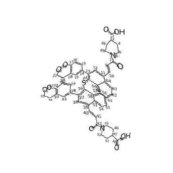 O=C(O)C1CCN(C(=O)/C=C/c2cc(-c3ccc4c(c3)CCOO4)c(Sc3c(-c4ccc5c(c4)CCOO5)cc(/C=C/C(=O)N4CCC(C(=O)O)CC4)c4ccccc34)c3ccccc23)CC1